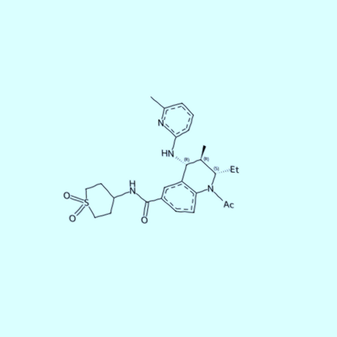 CC[C@H]1[C@H](C)[C@@H](Nc2cccc(C)n2)c2cc(C(=O)NC3CCS(=O)(=O)CC3)ccc2N1C(C)=O